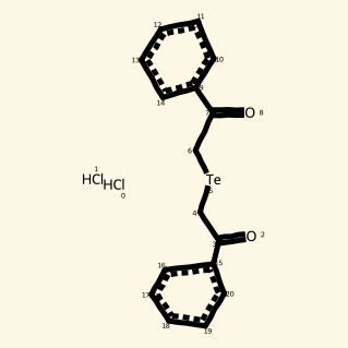 Cl.Cl.O=C(C[Te]CC(=O)c1ccccc1)c1ccccc1